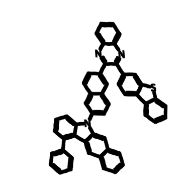 c1ccc(-c2cccc3c2c2cc4ccccc4cc2n3-c2ccc3cc(-c4nc5ccccc5nc4-c4ccc5c(c4)sc4ccccc45)ccc3c2)cc1